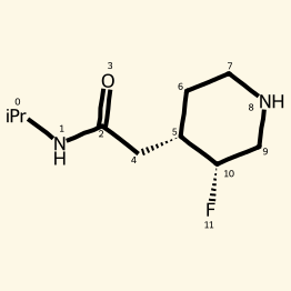 CC(C)NC(=O)C[C@@H]1CCNC[C@@H]1F